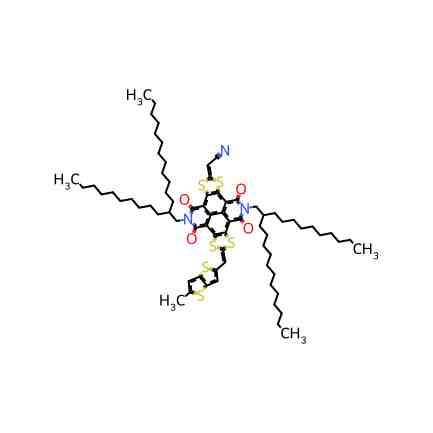 CCCCCCCCCCCCC(CCCCCCCCCC)Cn1c(=O)c2c3sc(=CC#N)sc3c3c(=O)n(CC(CCCCCCCCCC)CCCCCCCCCCCC)c(=O)c4c5sc(=Cc6cc7sc(C)cc7s6)sc5c(c1=O)c2c34